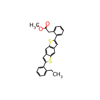 CCc1ccccc1-c1cc2cc3sc(-c4ccccc4CC(=O)OC)cc3cc2s1